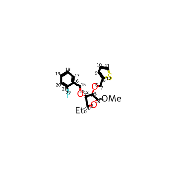 CC[C@H]1O[C@H](OC)[C@H](OCc2cccs2)[C@H]1OCc1ccccc1F